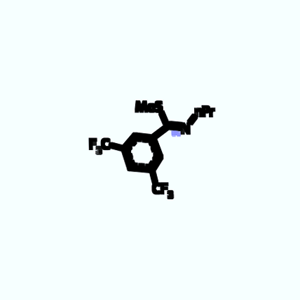 CCC/N=C(\SC)c1cc(C(F)(F)F)cc(C(F)(F)F)c1